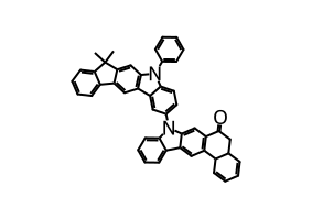 CC1(C)c2ccccc2-c2cc3c4cc(-n5c6ccccc6c6cc7c(cc65)C(=O)CC5C=CC=CC75)ccc4n(-c4ccccc4)c3cc21